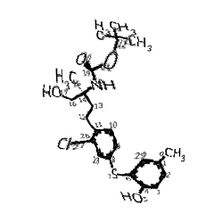 Cc1ccc(O)c(Sc2ccc(CC[C@@](C)(CO)NC(=O)OC(C)(C)C)c(Cl)c2)c1